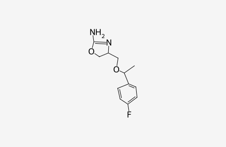 CC(OCC1COC(N)=N1)c1ccc(F)cc1